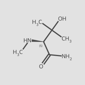 CN[C@H](C(N)=O)C(C)(C)O